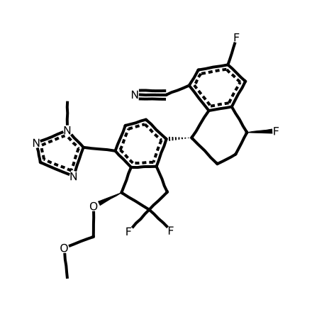 COCO[C@H]1c2c(-c3ncnn3C)ccc([C@H]3CC[C@H](F)c4cc(F)cc(C#N)c43)c2CC1(F)F